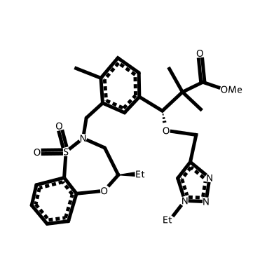 CC[C@@H]1CN(Cc2cc([C@@H](OCc3cn(CC)nn3)C(C)(C)C(=O)OC)ccc2C)S(=O)(=O)c2ccccc2O1